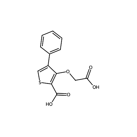 O=C(O)COc1c(-c2ccccc2)csc1C(=O)O